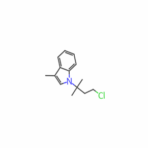 Cc1cn(C(C)(C)CCCl)c2ccccc12